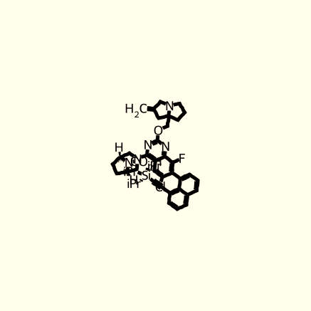 C=C1CN2CCCC2(COc2nc(N3C[C@H]4CC[C@@H](C3)N4C(=O)O)c3cc(Cl)c(-c4cccc5cccc(C#C[Si](C(C)C)(C(C)C)C(C)C)c45)c(F)c3n2)C1